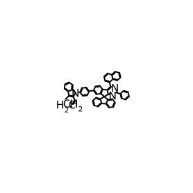 C=Cc1c(C=C)n(-c2ccc(-c3ccc4c(c3)C3(c5ccccc5-c5ccccc53)c3nc(-c5ccccc5)nc(-c5cccc6ccccc56)c3-4)cc2)c2ccccc12